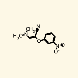 CN(C)/C=C(\C#N)Oc1cccc([N+](=O)[O-])c1